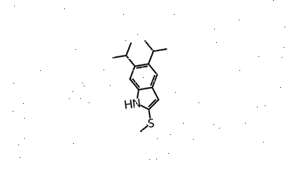 CSc1cc2cc(C(C)C)c(C(C)C)cc2[nH]1